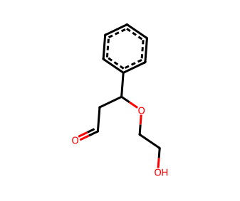 O=CCC(OCCO)c1ccccc1